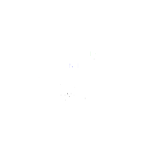 CCNC(=O)OC.Cl.c1ccccc1